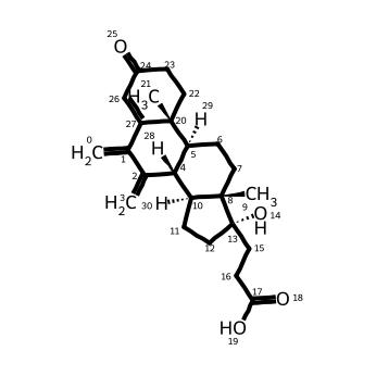 C=C1C(=C)[C@@H]2[C@H](CC[C@@]3(C)[C@H]2CC[C@]3(O)CCC(=O)O)[C@@]2(C)CCC(=O)C=C12